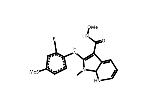 CONC(=O)C1=C(Nc2ccc(SC)cc2F)N(C)C2NC=CC=C12